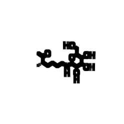 CC(=O)[C@@H](C)CCCCNC1OC(CO)C(O)C(O)C1O